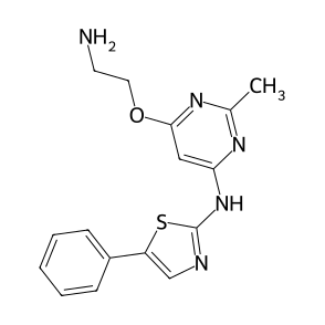 Cc1nc(Nc2ncc(-c3ccccc3)s2)cc(OCCN)n1